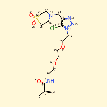 C=C(C)C(=O)NCCOCCOCCn1nnc(CN2CCS(=O)(=O)CC2)c1Cl